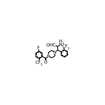 NC(C=O)C(c1ccccc1C(F)(F)F)N1CCN(C(=O)c2cc(F)ccc2C(F)(F)F)CC1